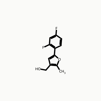 Cc1oc(-c2ccc(F)cc2F)cc1CO